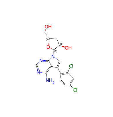 Nc1ncnc2c1c(-c1ccc(Cl)cc1Cl)cn2[C@@H]1O[C@H](CO)C[C@H]1O